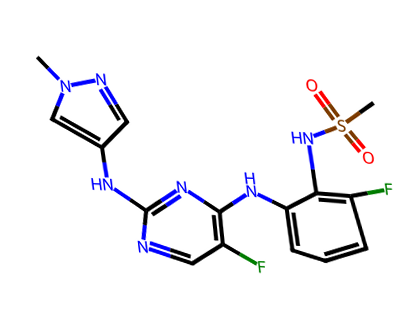 Cn1cc(Nc2ncc(F)c(Nc3cccc(F)c3NS(C)(=O)=O)n2)cn1